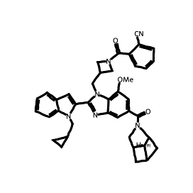 COc1cc(C(=O)N2CC3CC4CC2[C@H]43)cc2nc(-c3cc4ccccc4n3CC3CC3)n(CC3CN(C(=O)c4ccccc4C#N)C3)c12